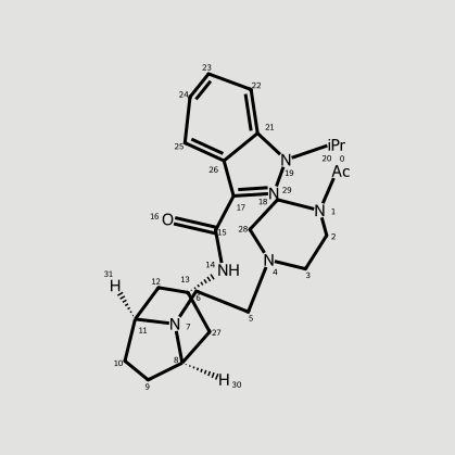 CC(=O)N1CCN(CCN2[C@@H]3CC[C@H]2C[C@H](NC(=O)c2nn(C(C)C)c4ccccc24)C3)CC1